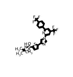 CC(C)(C)NS(=O)(=O)c1ccc(-c2cn(-c3cc(C(F)(F)F)cc(-c4ccc(C(F)(F)F)cc4)n3)cn2)s1